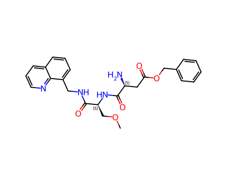 COC[C@H](NC(=O)[C@@H](N)CC(=O)OCc1ccccc1)C(=O)NCc1cccc2cccnc12